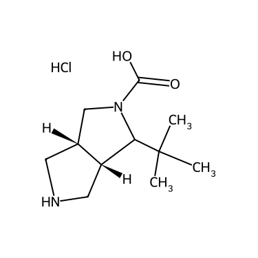 CC(C)(C)C1[C@@H]2CNC[C@@H]2CN1C(=O)O.Cl